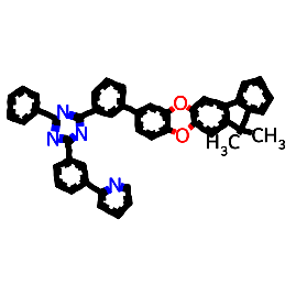 CC1(C)c2ccccc2-c2cc3c(cc21)Oc1ccc(-c2cccc(-c4nc(-c5ccccc5)nc(-c5cccc(-c6ccccn6)c5)n4)c2)cc1O3